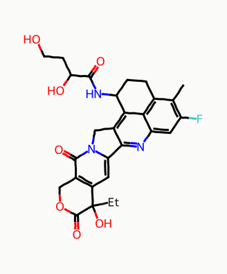 CCC1(O)C(=O)OCc2c1cc1n(c2=O)Cc2c-1nc1cc(F)c(C)c3c1c2C(NC(=O)C(O)CCO)CC3